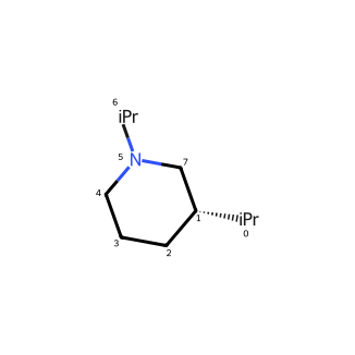 CC(C)[C@@H]1CCCN(C(C)C)C1